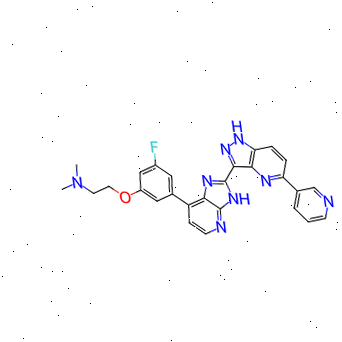 CN(C)CCOc1cc(F)cc(-c2ccnc3[nH]c(-c4n[nH]c5ccc(-c6cccnc6)nc45)nc23)c1